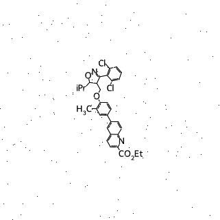 CCOC(=O)c1ccc2cc(-c3ccc(OCC4C(c5c(Cl)cccc5Cl)=NOC4C(C)C)c(C)c3)ccc2n1